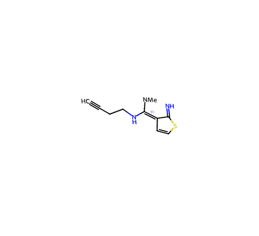 C#CCCN/C(NC)=C1\C=CSC1=N